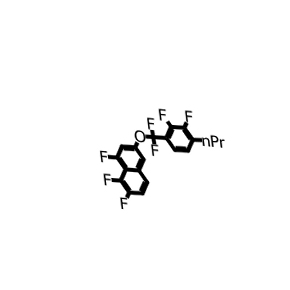 CCCc1ccc(C(F)(F)Oc2cc(F)c3c(F)c(F)ccc3c2)c(F)c1F